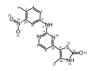 Cc1ccc(Nc2nccc(-c3sc(=O)[nH]c3C)n2)cc1[N+](=O)[O-]